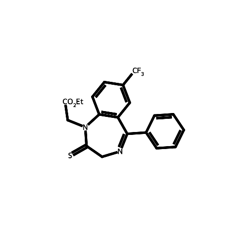 CCOC(=O)CN1C(=S)CN=C(c2ccccc2)c2cc(C(F)(F)F)ccc21